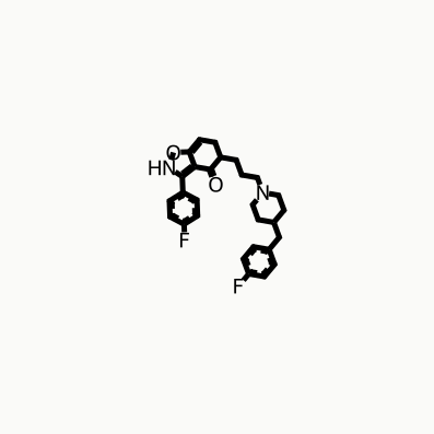 O=C1C2=C(c3ccc(F)cc3)NOC2=CCC1CCCN1CCC(Cc2ccc(F)cc2)CC1